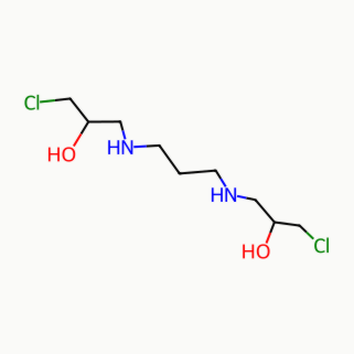 OC(CCl)CNCCCNCC(O)CCl